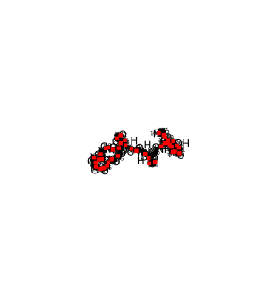 C=C(O)CN(C)C(=O)CN(C)C(=O)CN(C)C(=O)CN(C)C(=O)CN(C)C(=O)CN(C)C(=O)CN(C)C(=O)CN(C)C(=O)CN(C)C(=O)CN(C)C(=O)c1cc(N2C(=O)C=CC2=O)ccc1CCC(=O)NCC(=O)NCC(=O)N[C@@H](Cc1ccccc1)C(=O)NCC(=O)NCOCC(=O)[C@@]12O[C@H](c3cccc(F)c3)O[C@@H]1C[C@H]1[C@@H]3C[C@H](F)C4=CC(=O)C=C[C@]4(C)[C@@]3(F)[C@@H](O)C[C@@]12C